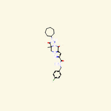 CN1C(=O)c2cc(C(=O)NCc3ccc(Cl)cc3)nn2CC1(C)C(=O)NC1CCCCCC1